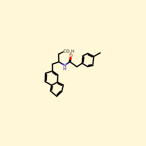 Cc1ccc(CC(=O)NC(CC(=O)O)Cc2ccc3ccccc3c2)cc1